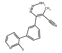 C/C(C#N)=C(\N=N/N)c1cccc(-c2cccnc2F)c1